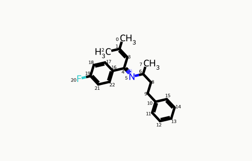 CC(C)=C/C(=N\C(C)CCc1ccccc1)c1ccc(F)cc1